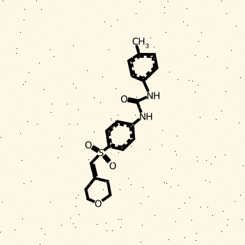 Cc1ccc(NC(=O)Nc2ccc(S(=O)(=O)C=C3CCOCC3)cc2)cc1